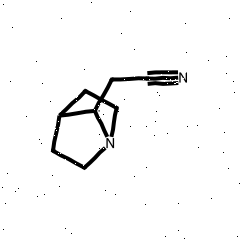 N#CC[C]1C2CCN1CC2